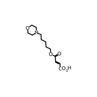 O=C(O)C=CC(=O)OCCCCCN1CCOCC1